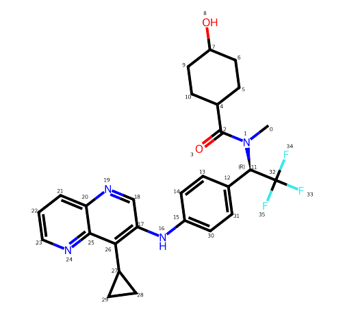 CN(C(=O)C1CCC(O)CC1)[C@H](c1ccc(Nc2cnc3cccnc3c2C2CC2)cc1)C(F)(F)F